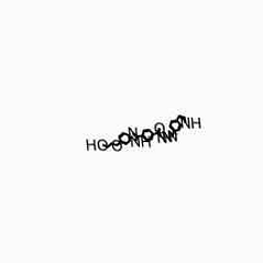 O=C(N=[N+]=Nc1ccc2cc[nH]c2c1)c1ccc(-c2nc3ccc(OCCO)cc3[nH]2)cc1